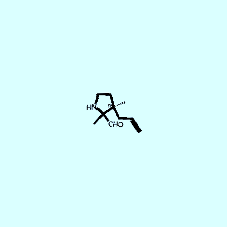 C=CC[C@]1(C)CCNC1(C)C=O